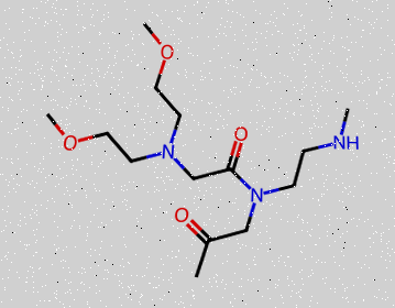 CNCCN(CC(C)=O)C(=O)CN(CCOC)CCOC